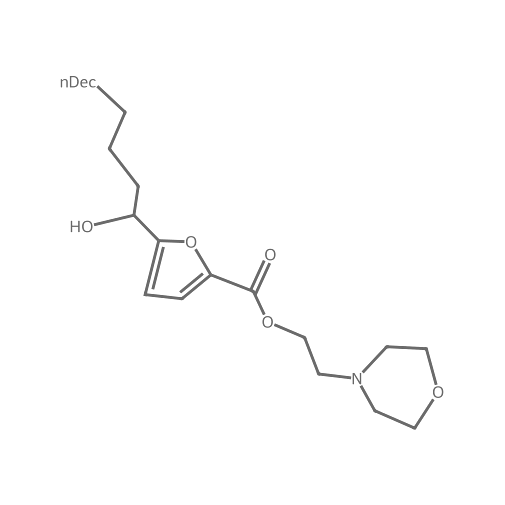 CCCCCCCCCCCCCC(O)c1ccc(C(=O)OCCN2CCOCC2)o1